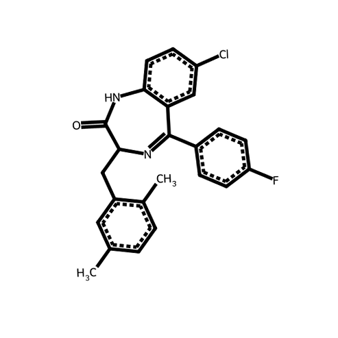 Cc1ccc(C)c(CC2N=C(c3ccc(F)cc3)c3cc(Cl)ccc3NC2=O)c1